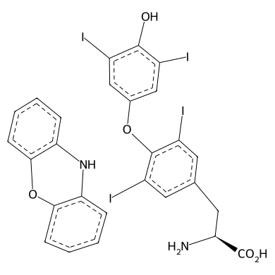 N[C@@H](Cc1cc(I)c(Oc2cc(I)c(O)c(I)c2)c(I)c1)C(=O)O.c1ccc2c(c1)Nc1ccccc1O2